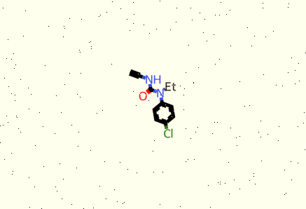 C#CNC(=O)N(CC)c1ccc(Cl)cc1